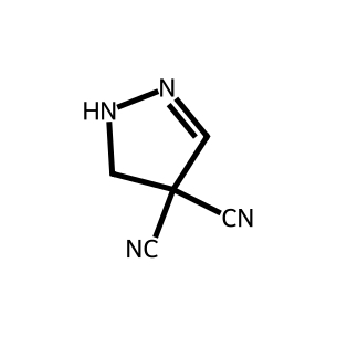 N#CC1(C#N)C=NNC1